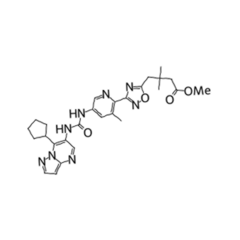 COC(=O)CC(C)(C)Cc1nc(-c2ncc(NC(=O)Nc3cnc4ccnn4c3C3CCCC3)cc2C)no1